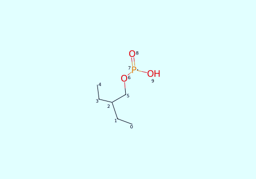 CCC(CC)CO[P](=O)O